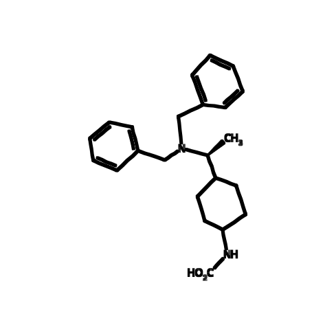 C[C@@H](C1CCC(NC(=O)O)CC1)N(Cc1ccccc1)Cc1ccccc1